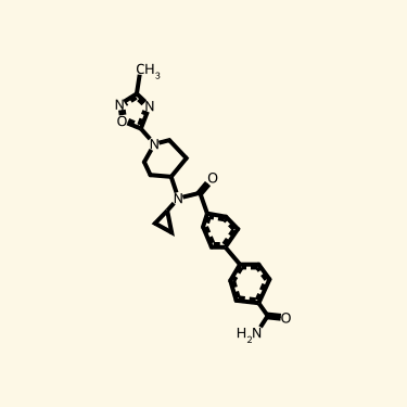 Cc1noc(N2CCC(N(C(=O)c3ccc(-c4ccc(C(N)=O)cc4)cc3)C3CC3)CC2)n1